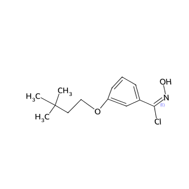 CC(C)(C)CCOc1cccc(/C(Cl)=N\O)c1